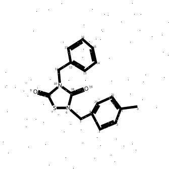 Cc1ccc(Cn2sc(=O)n(Cc3ccccc3)c2=O)cc1